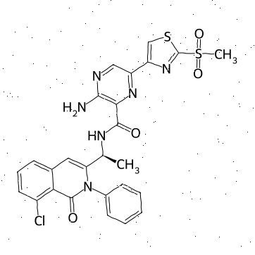 C[C@H](NC(=O)c1nc(-c2csc(S(C)(=O)=O)n2)cnc1N)c1cc2cccc(Cl)c2c(=O)n1-c1ccccc1